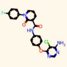 Nc1ncnc(Oc2ccc(NC(=O)c3cccn(-c4ccc(F)cc4)c3=O)cc2)c1Cl